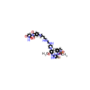 COc1cc(N2CCC(NCCNCCCC3CN(c4ccc5c(c4)C(=O)N(C4CCC(=O)NC4=O)C5=O)C3)CC2)c(C)cc1Nc1ncc(Br)c(Nc2cccc3c2N(S(C)(=O)=O)CC3)n1